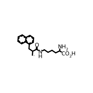 [CH2]C(Cc1cccc2ccccc12)C(=O)NCCCCC(N)C(=O)O